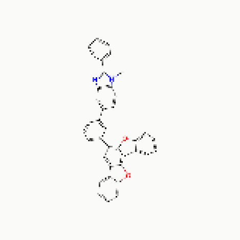 Cn1c(-c2ccccc2)nc2cc(-c3cccc(-c4cc5c6ccccc6oc5c5c4oc4ccccc45)c3)ccc21